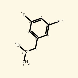 C[S+]([O-])Cc1cc(F)cc(F)c1